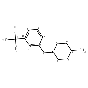 CC1CCN(Cc2cccc(C(F)(F)F)n2)CC1